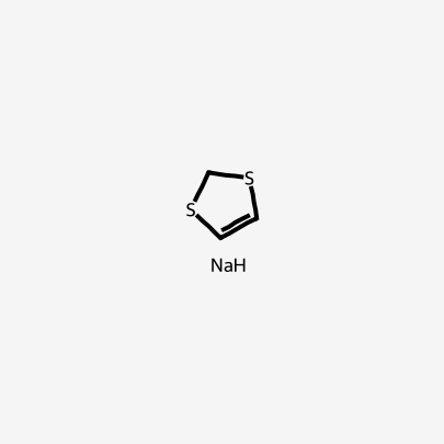 C1=CSCS1.[NaH]